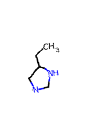 CCC1C[N]CN1